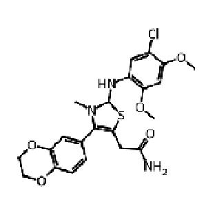 COc1cc(OC)c(NC2SC(CC(N)=O)=C(c3ccc4c(c3)OCCO4)N2C)cc1Cl